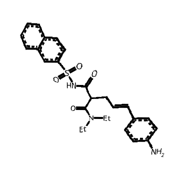 CCN(CC)C(=O)C(C/C=C/c1ccc(N)cc1)C(=O)NS(=O)(=O)c1ccc2ccccc2c1